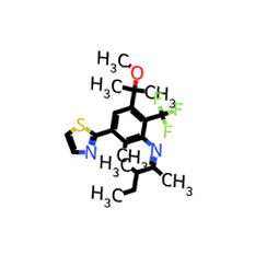 CCC(C)/C(C)=N\c1c(C)c(-c2nccs2)cc(C(C)(C)OC)c1C(F)(F)F